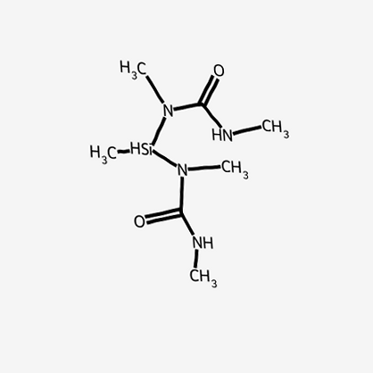 CNC(=O)N(C)[SiH](C)N(C)C(=O)NC